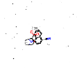 COC(=O)C1=CCC2CCC1N2c1ccc(C#N)c2ccccc12